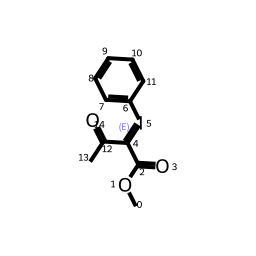 COC(=O)/C(=I/c1ccccc1)C(C)=O